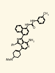 CNC1CC=C(c2cnc(N)c3c(-c4ccc(NC(=O)Nc5cccc(C)c5)c5ccccc45)nc(C(C)C)n23)CC1